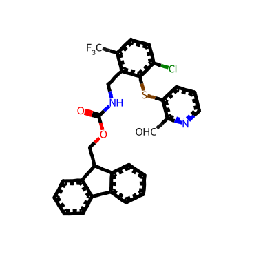 O=Cc1ncccc1Sc1c(Cl)ccc(C(F)(F)F)c1CNC(=O)OCC1c2ccccc2-c2ccccc21